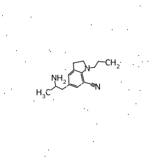 [CH2]CCN1CCc2cc(CC(C)N)cc(C#N)c21